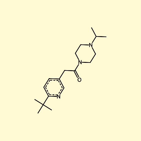 CC(C)N1CCN(C(=O)Cc2ccc(C(C)(C)C)nc2)CC1